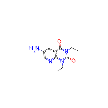 CCn1c(=O)c2cc(N)cnc2n(CC)c1=O